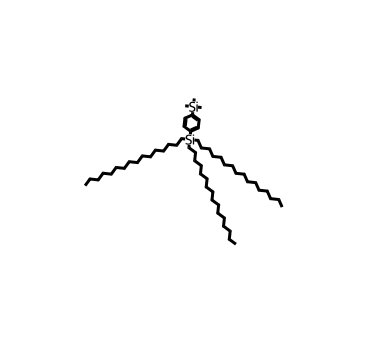 CCCCCCCCCCCCCCCC[Si](CCCCCCCCCCCCCCCC)(CCCCCCCCCCCCCCCC)c1ccc([Si](C)(C)C)cc1